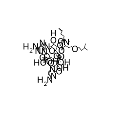 C=CCCC(=O)N(C)[C@@H](CCOCCC(C)C)C(=O)O[C@H]1[C@@H](O)[C@H](n2cnc3c(N)ncnc32)O[C@@H]1COP(=O)(O)[C@H]1[C@@H](O)[C@H](n2ccc(N)nc2=O)O[C@@H]1COP(=O)(O)O